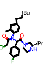 Cc1cc(CCC(C)(C)C)ccc1N(C(=O)CCl)[C@@H](C(=O)N1CCN[C@H](C(C)C)C1)c1ccc(F)cc1